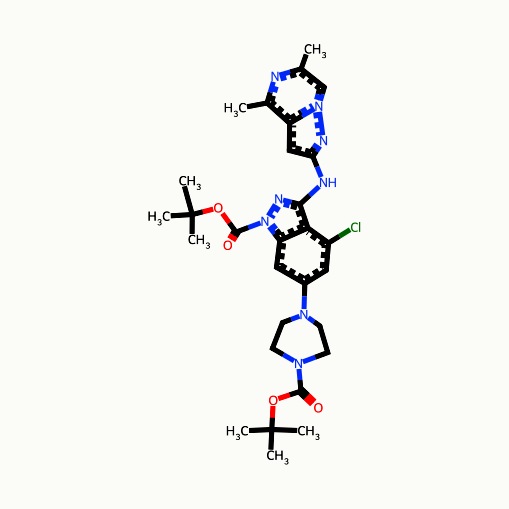 Cc1cn2nc(Nc3nn(C(=O)OC(C)(C)C)c4cc(N5CCN(C(=O)OC(C)(C)C)CC5)cc(Cl)c34)cc2c(C)n1